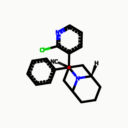 N#CC1(c2cccnc2Cl)CC2CCC[C@@H](C1)N2Cc1ccccc1